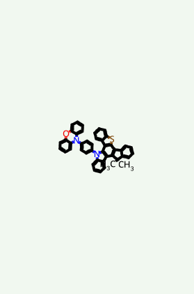 CC1(C)c2ccccc2-c2c1c1c3ccccc3n(-c3ccc(N4c5ccccc5Oc5ccccc54)cc3)c1c1c2sc2ccccc21